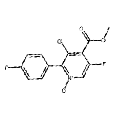 COC(=O)c1c(F)c[n+]([O-])c(-c2ccc(F)cc2)c1Cl